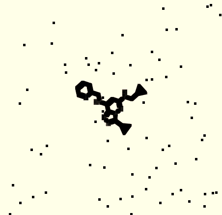 c1ccc(CNc2cc(NCC3CC3)nn3c(C4CC4)nnc23)nc1